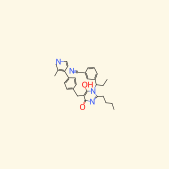 CCCCc1nc(=O)c(Cc2ccc(-c3ccncc3C)cc2)c(O)n1C(CC)c1cccc(C#N)c1